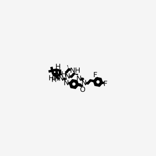 C[C@H]1[C@@H](NC(=Nc2ccc3c(=O)n(CCc4ccc(F)cc4F)cnc3c2)N2C[C@H](C)N[C@@H](C)C2)C[C@@H]2C[C@@H]1C2(C)C